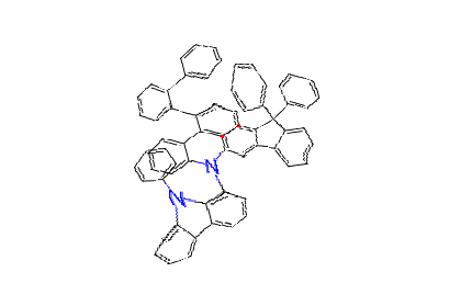 c1ccc(-c2ccccc2-c2ccccc2-c2ccccc2N(c2ccc3c(c2)-c2ccccc2C3(c2ccccc2)c2ccccc2)c2cccc3c4ccccc4n(-c4ccccc4)c23)cc1